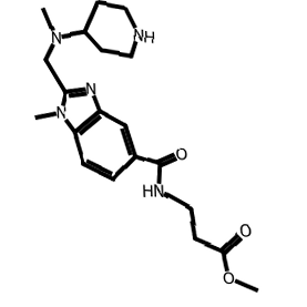 COC(=O)CCNC(=O)c1ccc2c(c1)nc(CN(C)C1CCNCC1)n2C